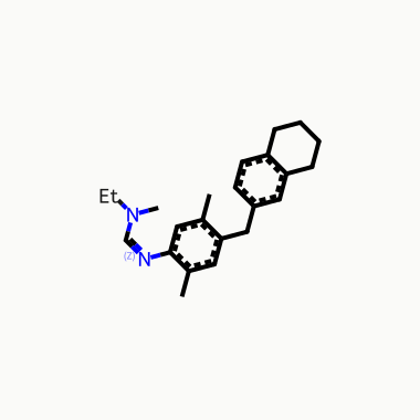 CCN(C)/C=N\c1cc(C)c(Cc2ccc3c(c2)CCCC3)cc1C